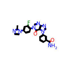 Cc1nccn1-c1ccc(-n2cnc3ncn(-c4cccc(C(N)=O)c4)c3c2=O)c(F)c1